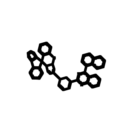 C1=CC(C2=CC3Oc4ccccc4C4(c5ccccc5-c5ccccc54)C3C=C2)CC(c2nc(-c3cccc4ccccc34)c3ccccc3n2)=C1